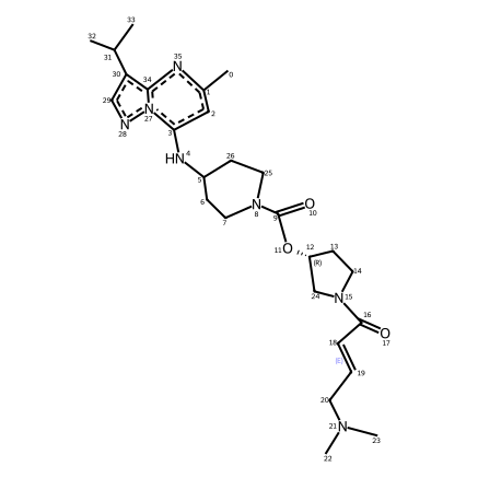 Cc1cc(NC2CCN(C(=O)O[C@@H]3CCN(C(=O)/C=C/CN(C)C)C3)CC2)n2ncc(C(C)C)c2n1